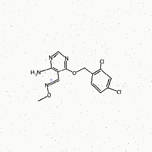 CO/N=C/c1c(N)ncnc1OCc1ccc(Cl)cc1Cl